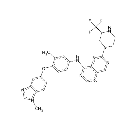 Cc1cc(Nc2ncnc3cnc(N4CCN[C@H](C(F)(F)F)C4)nc23)ccc1Oc1ccc2c(c1)ncn2C